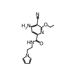 CCOc1nc(C(=O)NCCn2cccc2)cc(N)c1C#N